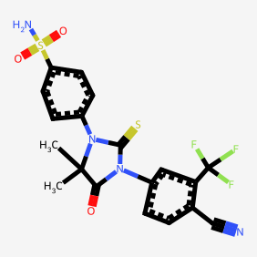 CC1(C)C(=O)N(c2ccc(C#N)c(C(F)(F)F)c2)C(=S)N1c1ccc(S(N)(=O)=O)cc1